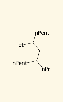 CCCCCC(CC)CC(CCC)CCCCC